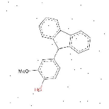 COc1cc(C2c3ccccc3-c3ccccc32)ccc1O